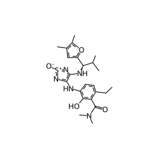 CCc1ccc(Nc2n[s+]([O-])nc2N[C@@H](c2cc(C)c(C)o2)C(C)C)c(O)c1C(=O)N(C)C